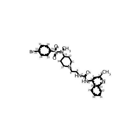 Cc1cc(NC(=O)NCCN2CCC(N(C)S(=O)(=O)c3ccc(Br)cc3)CC2)c2ccccc2n1